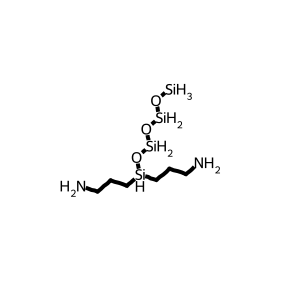 NCCC[SiH](CCCN)O[SiH2]O[SiH2]O[SiH3]